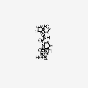 O=C(NOC1CCOCC12CCCC2)[C@@H]1CC[C@@H]2CN1C(=O)N2OS(=O)(=O)O